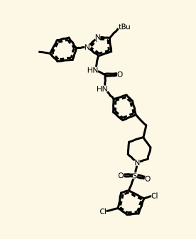 Cc1ccc(-n2nc(C(C)(C)C)cc2NC(=O)Nc2ccc(CC3CCN(S(=O)(=O)c4cc(Cl)ccc4Cl)CC3)cc2)cc1